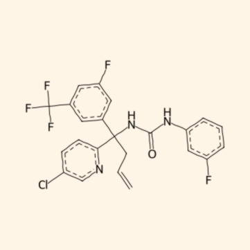 C=CCC(NC(=O)Nc1cccc(F)c1)(c1cc(F)cc(C(F)(F)F)c1)c1ccc(Cl)cn1